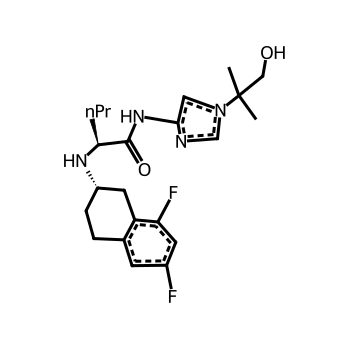 CCC[C@H](N[C@H]1CCc2cc(F)cc(F)c2C1)C(=O)Nc1cn(C(C)(C)CO)cn1